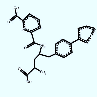 CC(CC(Cc1ccc(-c2ccccc2)cc1)NC(=O)c1cccc(C(=O)O)n1)C(=O)O